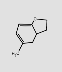 CC1=CC=C2OCCC2C1